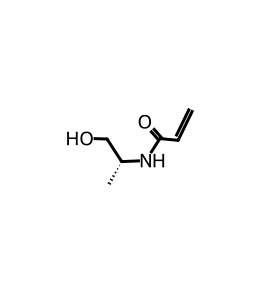 C=CC(=O)N[C@H](C)CO